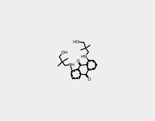 CC(C)(CO)CNc1cccc2c1C(=O)c1c(NCC(C)(C)CO)cccc1C2=O